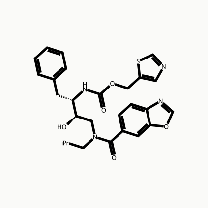 CC(C)CN(C[C@@H](O)[C@H](Cc1ccccc1)NC(=O)OCc1cncs1)C(=O)c1ccc2ncoc2c1